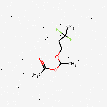 CC(=O)OC(C)OCCC(C)(F)F